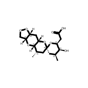 C[C@H]1C[C@@]2(C[C@H](C)[C@@H]3O[C@@H]4COO[C@@H]4C[C@@H]3O2)O[C@@H](CC(=O)O)[C@H]1O